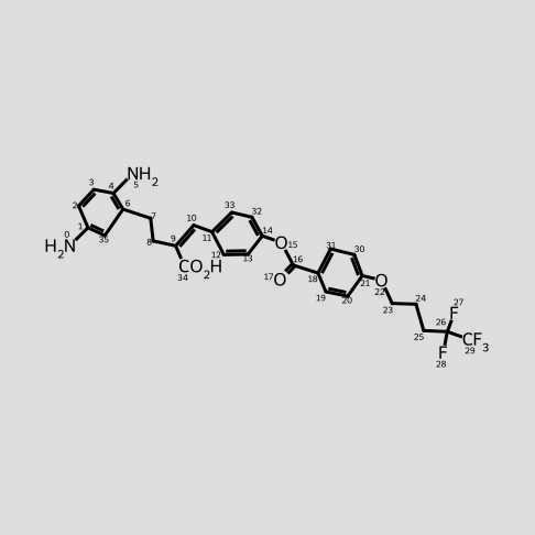 Nc1ccc(N)c(CCC(=Cc2ccc(OC(=O)c3ccc(OCCCC(F)(F)C(F)(F)F)cc3)cc2)C(=O)O)c1